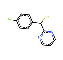 Fc1ccc([C](S)c2ncccn2)cc1